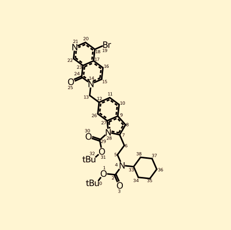 CC(C)(C)OC(=O)N(CCc1cc2ccc(Cn3ccc4c(Br)cncc4c3=O)cc2n1C(=O)OC(C)(C)C)C1CCCCC1